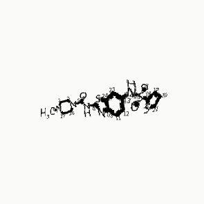 CN1CCN(C(=O)Nc2nc3ccc(NS(=O)(=O)c4cccs4)cc3s2)CC1